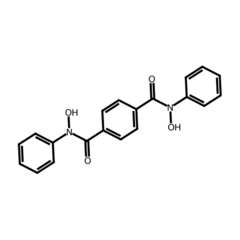 O=C(c1ccc(C(=O)N(O)c2ccccc2)cc1)N(O)c1ccccc1